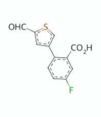 O=Cc1cc(-c2ccc(F)cc2C(=O)O)cs1